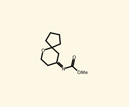 COC(=O)/N=C1/CCOC2(CCCC2)C1